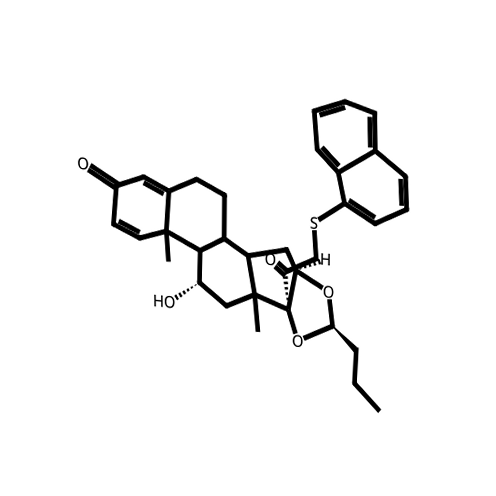 CCC[C@@H]1O[C@@H]2CC3C4CCC5=CC(=O)C=CC5(C)C4[C@@H](O)CC3(C)[C@]2(C(=O)CSc2cccc3ccccc23)O1